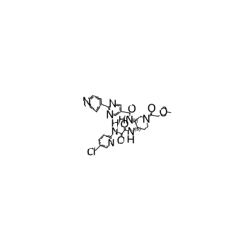 COCC(=O)N1CC[C@H](NC(=O)C(=O)Nc2ccc(Cl)cn2)[C@H](NC(=O)c2cnc(-c3ccncc3)nc2)C1